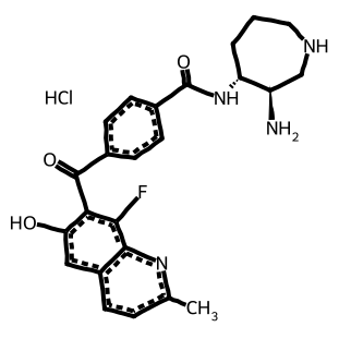 Cc1ccc2cc(O)c(C(=O)c3ccc(C(=O)N[C@@H]4CCCNC[C@H]4N)cc3)c(F)c2n1.Cl